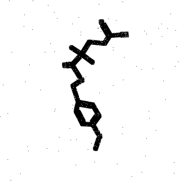 COc1ccc(COC(=O)C(C)(C)CCC(=O)O)cc1